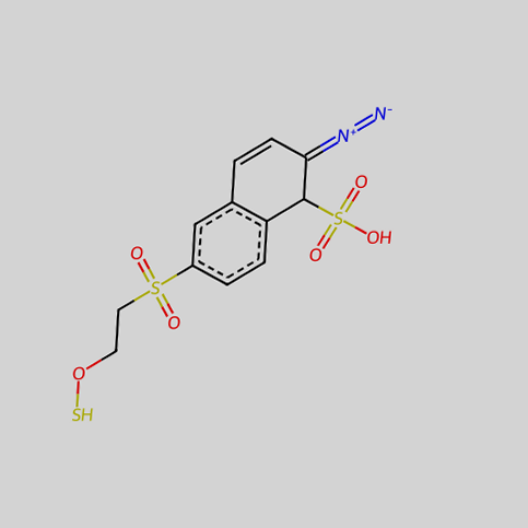 [N-]=[N+]=C1C=Cc2cc(S(=O)(=O)CCOS)ccc2C1S(=O)(=O)O